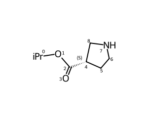 CC(C)OC(=O)[C@H]1CCNC1